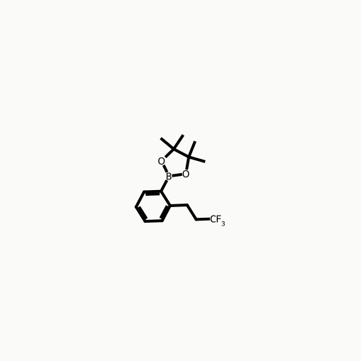 CC1(C)OB(c2ccccc2CCC(F)(F)F)OC1(C)C